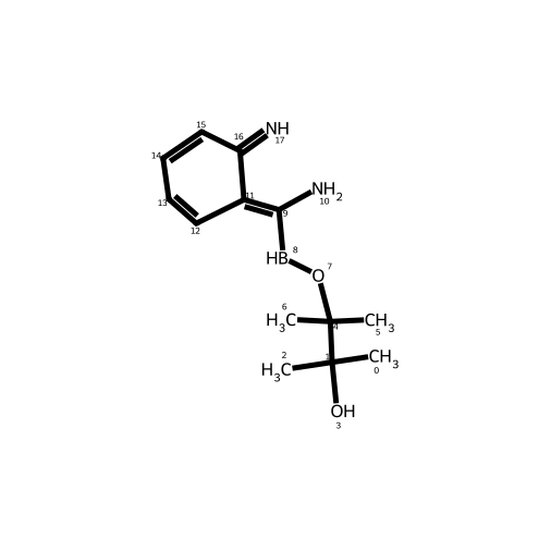 CC(C)(O)C(C)(C)OB/C(N)=C1\C=CC=CC1=N